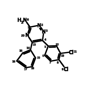 Nc1nnc(-c2ccc(Cl)c(Cl)c2)c(-c2ccccc2)n1